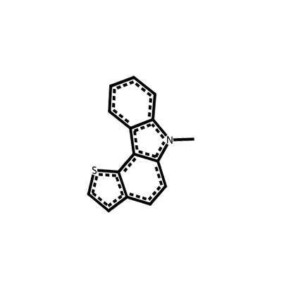 Cn1c2ccccc2c2c3sccc3ccc21